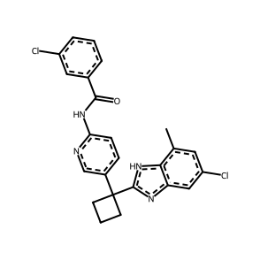 Cc1cc(Cl)cc2nc(C3(c4ccc(NC(=O)c5cccc(Cl)c5)nc4)CCC3)[nH]c12